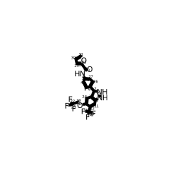 O=C(Nc1ccc(C2NNc3cc(C(F)(F)F)c(OCC(F)(F)F)cc32)cc1)c1ccco1